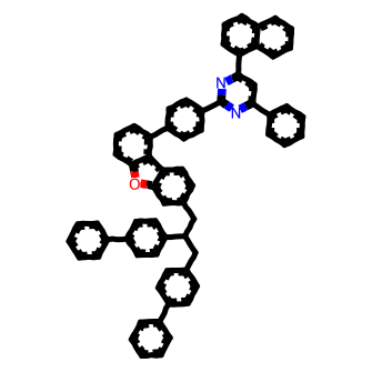 c1ccc(-c2ccc(CC(Cc3ccc4c(c3)oc3cccc(-c5ccc(-c6nc(-c7ccccc7)cc(-c7cccc8ccccc78)n6)cc5)c34)c3ccc(-c4ccccc4)cc3)cc2)cc1